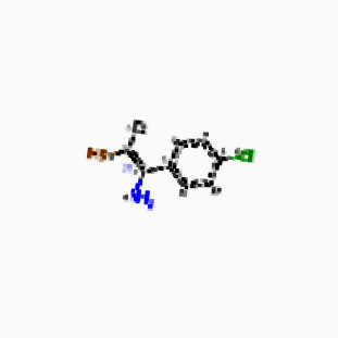 CC/C(S)=C(/N)c1ccc(Cl)cc1